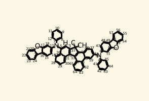 CC1(C)c2cc(N(c3ccccc3)c3ccc4c(c3)oc3ccccc34)c3ccccc3c2-c2c1c1ccc(N(c3ccccc3)c3ccc4c(c3)oc3ccccc34)cc1c1ccccc21